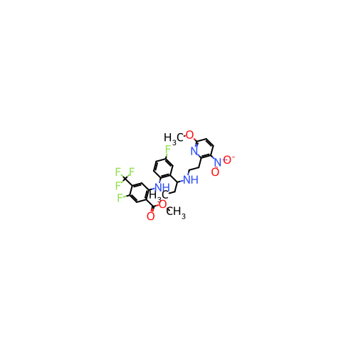 CCC(NCCc1nc(OC)ccc1[N+](=O)[O-])c1cc(F)ccc1Nc1cc(C(F)(F)F)c(F)cc1C(=O)OC